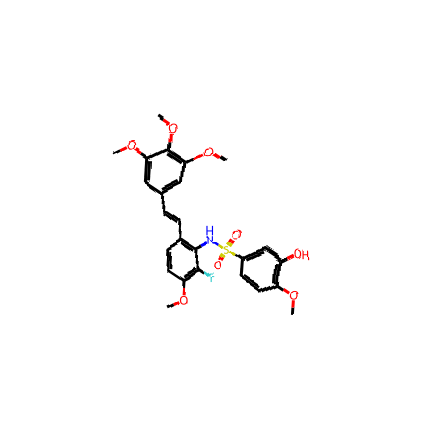 COc1ccc(S(=O)(=O)Nc2c(C=Cc3cc(OC)c(OC)c(OC)c3)ccc(OC)c2F)cc1O